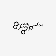 CC(C)CC(C(=O)Nc1ccccc1OCc1ccc(CCC(=O)O)cc1)c1cccc2ccccc12